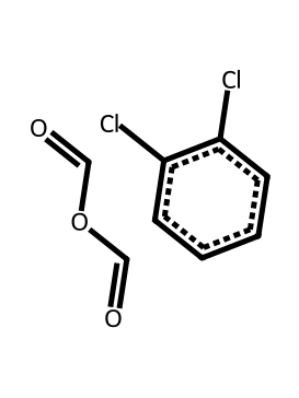 Clc1ccccc1Cl.O=COC=O